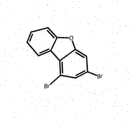 Brc1cc(Br)c2c(c1)oc1ccccc12